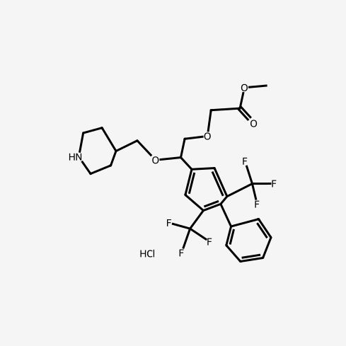 COC(=O)COCC(OCC1CCNCC1)c1cc(C(F)(F)F)c(-c2ccccc2)c(C(F)(F)F)c1.Cl